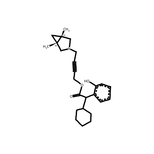 C[C@@]12CN(CC#CCOC(=O)C(c3ccccc3O)C3CCCCC3)C[C@]1(C)C2